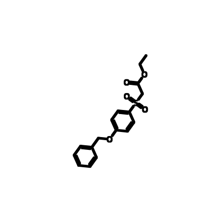 CCOC(=O)CS(=O)(=O)c1ccc(OCc2ccccc2)cc1